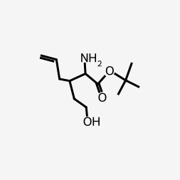 C=CCC(CCO)C(N)C(=O)OC(C)(C)C